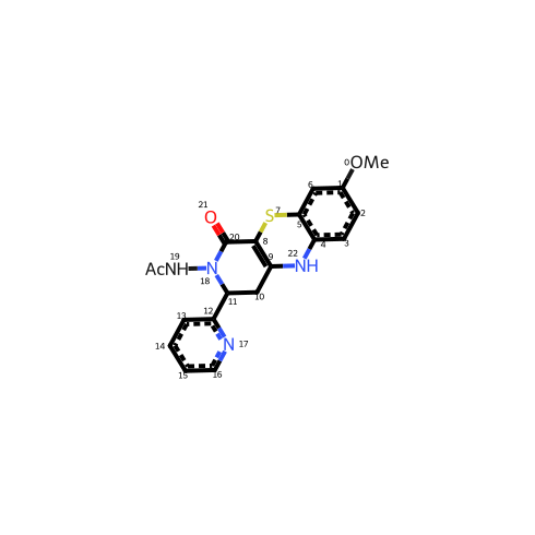 COc1ccc2c(c1)SC1=C(CC(c3ccccn3)N(NC(C)=O)C1=O)N2